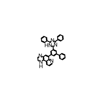 C1=Nc2cc(-c3cc(-c4ccccc4)cc(C4N=C(c5ccccc5)N=C(c5ccccc5)N4)c3)c3ncccc3c2NC1